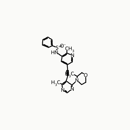 Cc1ncc(C#Cc2c(C)ncnc2N2CCOCC2C)cc1N[S+]([O-])c1ccccc1